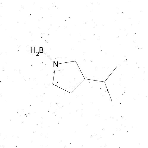 BN1CCC(C(C)C)C1